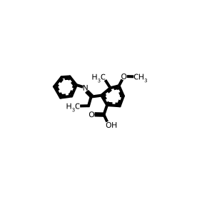 CCC(=Nc1ccccc1)c1c(C(=O)O)ccc(OC)c1C